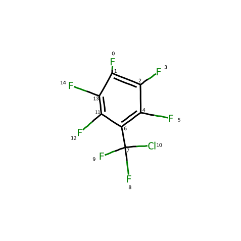 Fc1c(F)c(F)c(C(F)(F)Cl)c(F)c1F